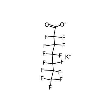 O=C([O-])C(F)(F)C(F)(F)C(F)(F)C(F)(F)C(F)(F)C(F)(F)F.[K+]